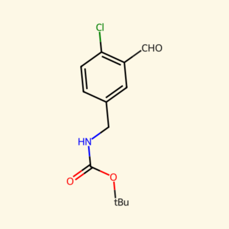 CC(C)(C)OC(=O)NCc1ccc(Cl)c(C=O)c1